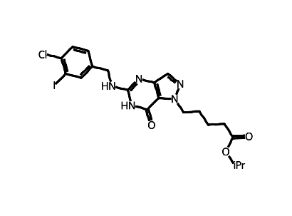 CC(C)OC(=O)CCCCn1ncc2nc(NCc3ccc(Cl)c(I)c3)[nH]c(=O)c21